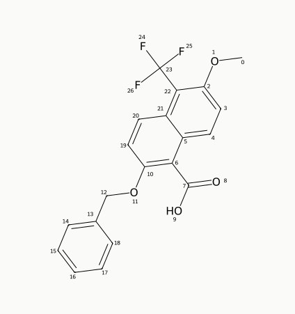 COc1ccc2c(C(=O)O)c(OCc3ccccc3)ccc2c1C(F)(F)F